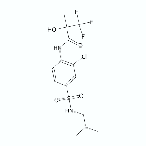 CC(C)CNS(=O)(=O)c1ccc(NC(=O)C(C)(O)C(F)(F)F)c(Cl)c1